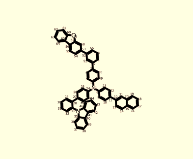 c1cc(-c2ccc(N(c3ccc(-c4ccc5ccccc5c4)cc3)c3ccc(-c4ccccc4-n4c5ccccc5c5ccccc54)cc3)cc2)cc(-c2ccc3c(c2)oc2ccccc23)c1